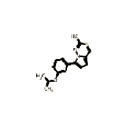 CC(C)Oc1cccc(-c2ccc3cnc(O)nn23)c1